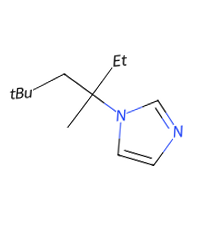 CCC(C)(CC(C)(C)C)n1ccnc1